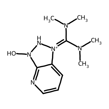 CN(C)C(N(C)C)=[N+]1NN(O)c2ncccc21